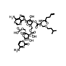 C=CCCC(=O)N[C@@H](COCCC(C)C)C(=O)O[C@H]1[C@@H](O)[C@H](n2cnc3c(N)ncnc32)O[C@@H]1COP(=O)(O)[C@H]1[C@@H](O)[C@H](n2ccc(N)nc2=O)O[C@@H]1COP(=O)(O)O